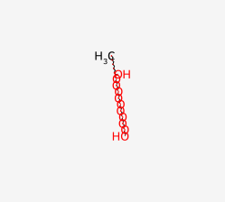 CCCCCCCCCC(O)COCCOCCOCCOCCOCCOCCOCCOCCOCCO